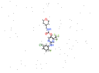 O=C(NCC1CCOCC1)Oc1cnc(Nc2cc(Cl)ccc2F)nc1C(F)(F)F